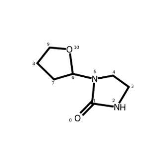 O=C1NCCN1C1CCCO1